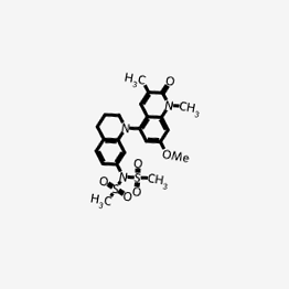 COc1cc(N2CCCc3ccc(N(S(C)(=O)=O)S(C)(=O)=O)cc32)c2cc(C)c(=O)n(C)c2c1